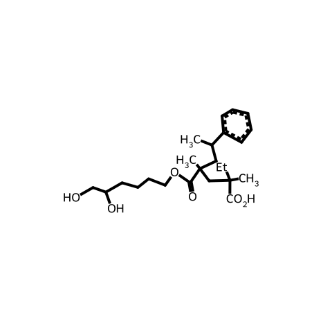 CCC(C)(CC(C)(CC(C)c1ccccc1)C(=O)OCCCCC(O)CO)C(=O)O